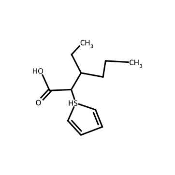 CCCC(CC)C(C(=O)O)[SH]1C=CC=C1